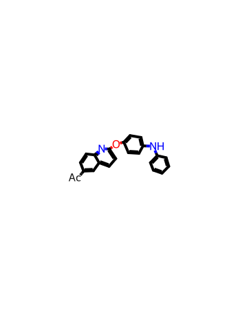 CC(=O)c1ccc2nc(Oc3ccc(Nc4ccccc4)cc3)ccc2c1